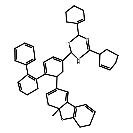 CC12CC=C(C3CC(C4NC(C5C=CCCC5)=NC(C5=CCCCC5)N4)=CC=C3C3=C(c4ccccc4)C=CCC3)C=C1C1=C(CCC=C1)S2